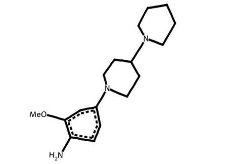 COc1cc(N2CCC(N3CCCCC3)CC2)ccc1N